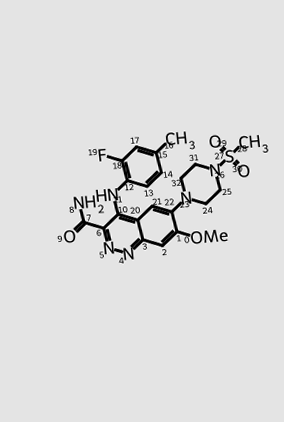 COc1cc2nnc(C(N)=O)c(Nc3ccc(C)cc3F)c2cc1N1CCN(S(C)(=O)=O)CC1